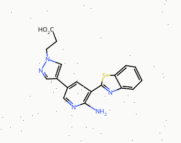 Nc1ncc(-c2cnn(CCC(=O)O)c2)cc1-c1nc2ccccc2s1